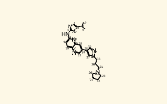 CC(C)c1cnc(Nc2ccc3ncc(-c4cnn(CCCN5CCCC5)c4)cc3n2)s1